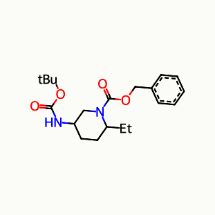 CCC1CCC(NC(=O)OC(C)(C)C)CN1C(=O)OCc1ccccc1